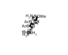 COc1nc(N)nc2c1ncn2[C@@H]1O[C@H](CO[Si](C)(C)C(C)(C)C)[C@@H](OC(C)=O)[C@@H]1OC(C)=O